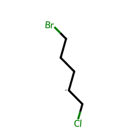 ClC[CH]CCCBr